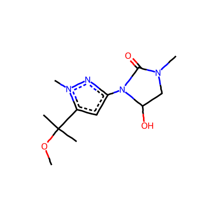 COC(C)(C)c1cc(N2C(=O)N(C)CC2O)nn1C